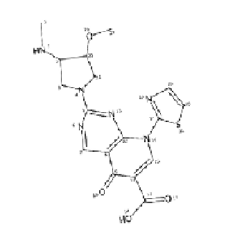 CNC1CN(c2ncc3c(=O)c(C(=O)O)cn(-c4nccs4)c3n2)CC1OC